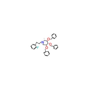 C[C@@H]1[C@@H](OCc2ccccc2)[C@H](OCc2ccccc2)[C@@H](OCc2ccccc2)CN1CCCc1ccccc1F